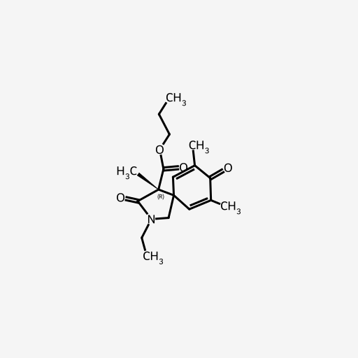 CCCOC(=O)[C@@]1(C)C(=O)N(CC)CC12C=C(C)C(=O)C(C)=C2